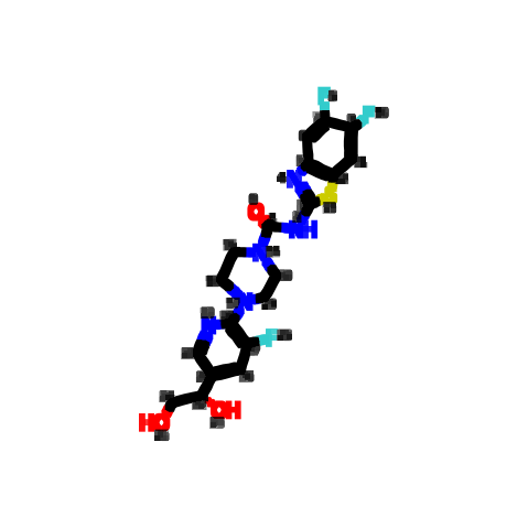 O=C(Nc1nc2cc(F)c(F)cc2s1)N1CCN(c2ncc([C@H](O)CO)cc2F)CC1